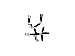 CCC[C@@](S)([SiH](OCC)OCC)[Si](C)(C)C